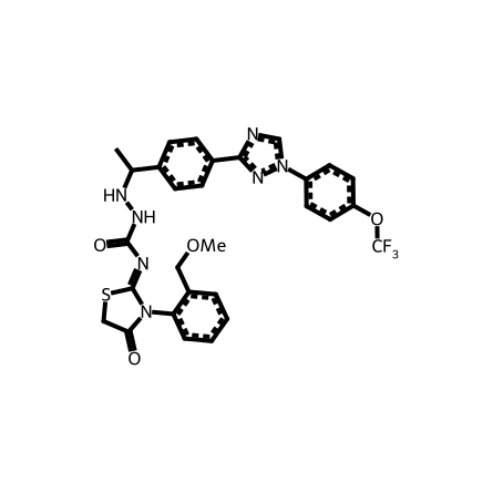 COCc1ccccc1N1C(=O)CS/C1=N\C(=O)NNC(C)c1ccc(-c2ncn(-c3ccc(OC(F)(F)F)cc3)n2)cc1